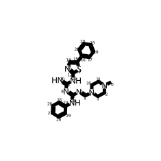 CN1CCN(/C=N/C(=N\C(=N)Nc2ncc(-c3ccccc3)s2)Nc2ccccc2)CC1